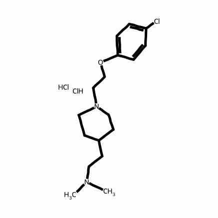 CN(C)CCC1CCN(CCOc2ccc(Cl)cc2)CC1.Cl.Cl